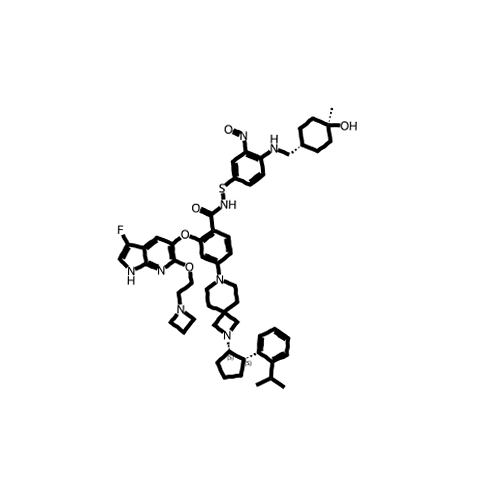 CC(C)c1ccccc1[C@@H]1CCC[C@@H]1N1CC2(CCN(c3ccc(C(=O)NSc4ccc(NC[C@H]5CC[C@](C)(O)CC5)c(N=O)c4)c(Oc4cc5c(F)c[nH]c5nc4OCCN4CCC4)c3)CC2)C1